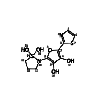 Oc1c(-c2nccs2)oc(N2CCCS2(O)O)c1O